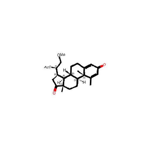 COC[C@H](OC(C)=O)[C@@H]1CC(=O)[C@@]2(C)CC[C@H]3[C@@H](CCC4=CC(=O)C=C(C)[C@@]43C)[C@H]12